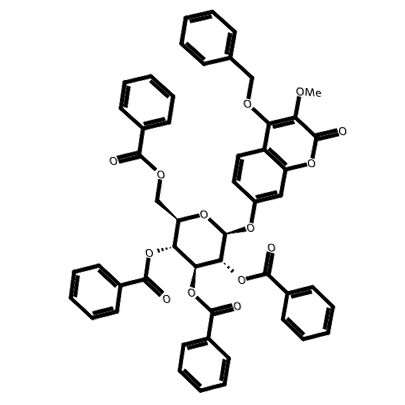 COc1c(OCc2ccccc2)c2ccc(O[C@@H]3O[C@H](COC(=O)c4ccccc4)[C@@H](OC(=O)c4ccccc4)[C@H](OC(=O)c4ccccc4)[C@H]3OC(=O)c3ccccc3)cc2oc1=O